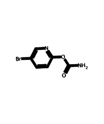 NC(=O)Oc1ccc(Br)cn1